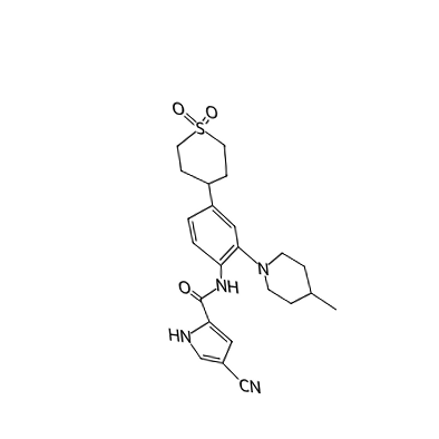 CC1CCN(c2cc(C3CCS(=O)(=O)CC3)ccc2NC(=O)c2cc(C#N)c[nH]2)CC1